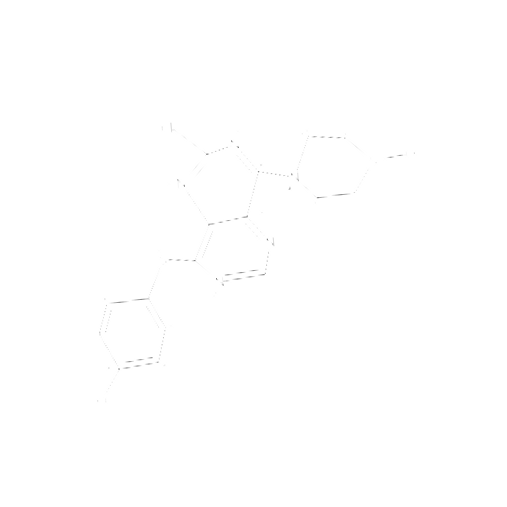 [O-][S+]1CCN(c2nc(Cl)nc3c(Sc4ccc(O)cc4)ncnc23)CC1